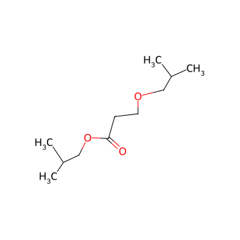 CC(C)COCCC(=O)OCC(C)C